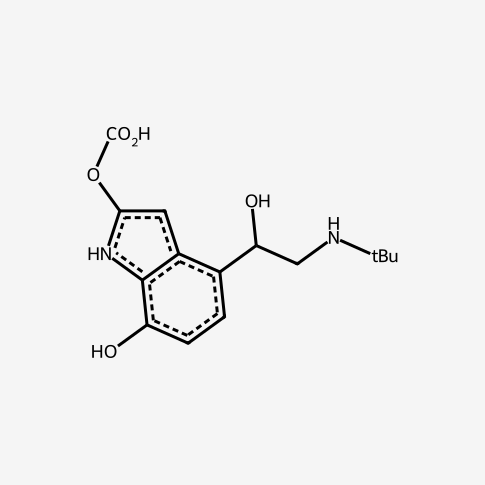 CC(C)(C)NCC(O)c1ccc(O)c2[nH]c(OC(=O)O)cc12